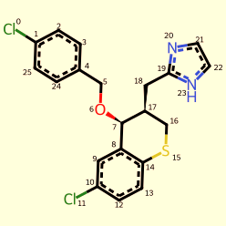 Clc1ccc(CO[C@@H]2c3cc(Cl)ccc3SC[C@@H]2Cc2ncc[nH]2)cc1